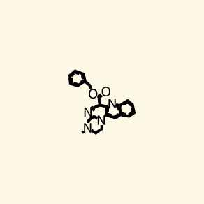 CN1CCN(c2cc3ccccc3nc2C(C#N)C(=O)OCc2ccccc2)CC1